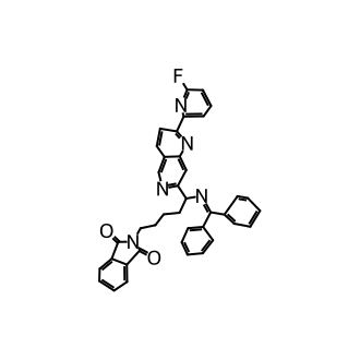 O=C1c2ccccc2C(=O)N1CCCCC(N=C(c1ccccc1)c1ccccc1)c1cc2nc(-c3cccc(F)n3)ccc2cn1